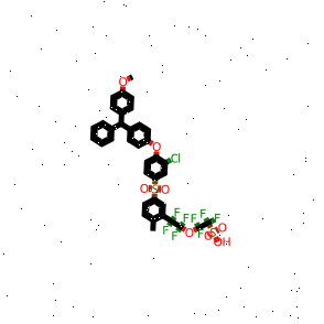 COc1ccc(C(c2ccccc2)c2ccc(Oc3ccc(S(=O)(=O)c4ccc(C)c(C(F)(F)C(F)(F)OC(F)(F)C(F)(F)S(=O)(=O)O)c4)cc3Cl)cc2)cc1